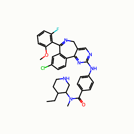 CCC1CCNCC1N(C)C(=O)c1ccc(Nc2ncc3c(n2)-c2ccc(Cl)cc2C(c2c(F)cccc2OC)=NC3)cc1